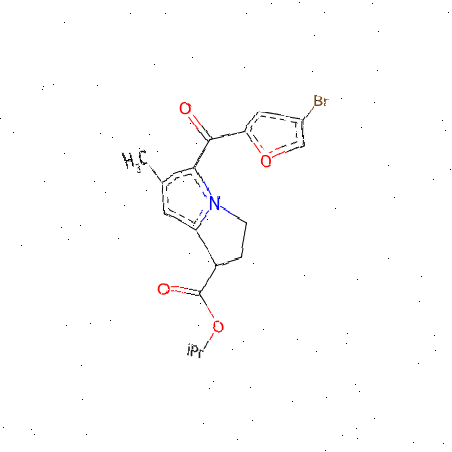 Cc1cc2n(c1C(=O)c1cc(Br)co1)CCC2C(=O)OC(C)C